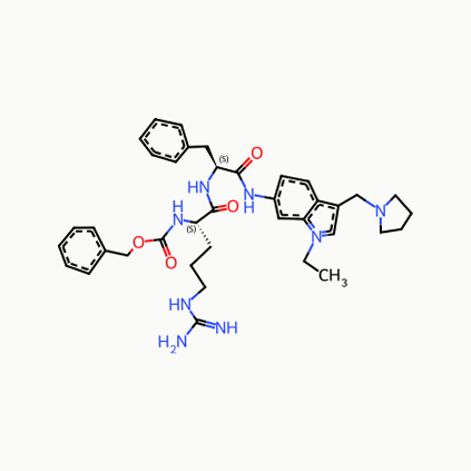 CCn1cc(CN2CCCC2)c2ccc(NC(=O)[C@H](Cc3ccccc3)NC(=O)[C@H](CCCNC(=N)N)NC(=O)OCc3ccccc3)cc21